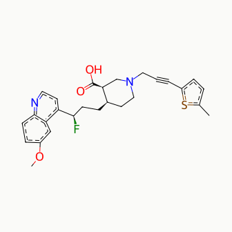 COc1ccc2nccc([C@H](F)CC[C@@H]3CCN(CC#Cc4ccc(C)s4)C[C@@H]3C(=O)O)c2c1